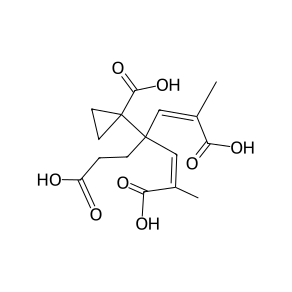 CC(=CC(C=C(C)C(=O)O)(CCC(=O)O)C1(C(=O)O)CC1)C(=O)O